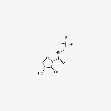 O=C(NCC(F)(F)F)C1OCC(O)C1O